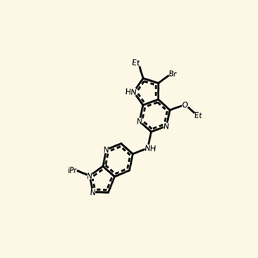 CCOc1nc(Nc2cnc3c(cnn3C(C)C)c2)nc2[nH]c(CC)c(Br)c12